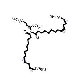 CCCCC/C=C\C/C=C\CCCCCCCC(=O)N(C(=O)CCCCCCC/C=C\C/C=C\CCCCC)[C@@H](CCC(=O)O)C(=O)O